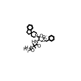 CC(C)(N)C(=O)N[C@H](C[S+]([O-])Cc1ccccc1)C(=O)N1CCC2(CCc3ccccc32)CC1.O=[SH2]